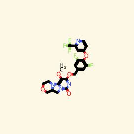 COc1c(OCc2cc(F)c(Oc3ccnc(C(F)(F)F)c3)c(F)c2)nc(=O)n2c1N1CCOCC1C2